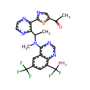 CC(=O)c1cnc(-c2nccnc2C(C)N(C)c2ncnc3c(C(F)(F)P)cc(C(F)(F)F)cc23)s1